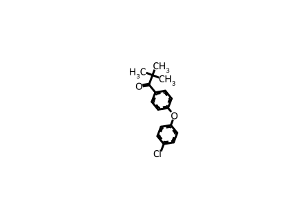 CC(C)(C)C(=O)c1ccc(Oc2ccc(Cl)cc2)cc1